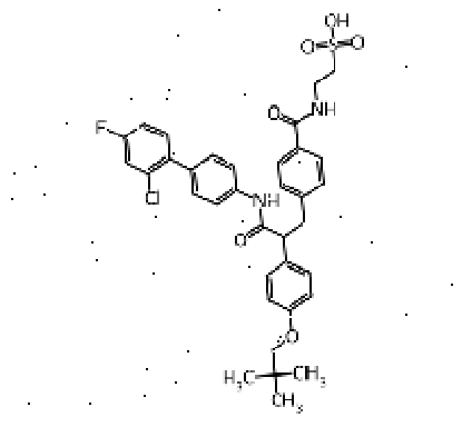 CC(C)(C)COc1ccc(C(Cc2ccc(C(=O)NCCS(=O)(=O)O)cc2)C(=O)Nc2ccc(-c3ccc(F)cc3Cl)cc2)cc1